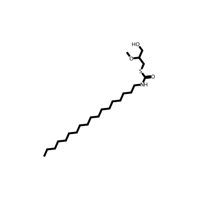 CCCCCCCCCCCCCCCCCCNC(=O)SCC(CO)OC